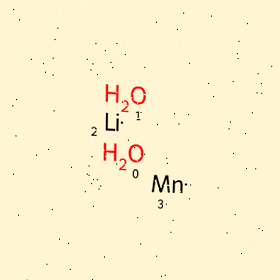 O.O.[Li].[Mn]